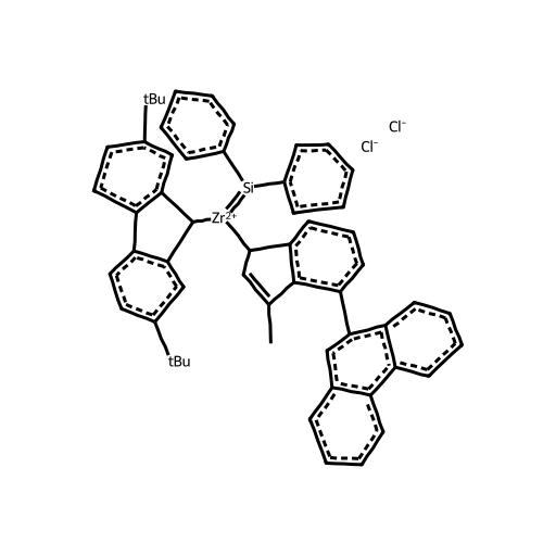 CC1=C[CH]([Zr+2]([CH]2c3cc(C(C)(C)C)ccc3-c3ccc(C(C)(C)C)cc32)=[Si](c2ccccc2)c2ccccc2)c2cccc(-c3cc4ccccc4c4ccccc34)c21.[Cl-].[Cl-]